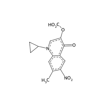 Cc1cc2c(cc1[N+](=O)[O-])c(=O)c(OC(=O)O)cn2C1CC1